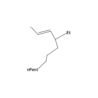 [CH2]C=CC(CC)CCCCCCC[CH2]